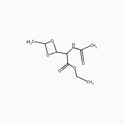 CCOC(=O)C(NC(C)=O)C1OC(C)O1